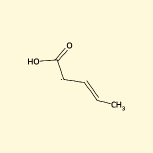 C/C=C/[CH]C(=O)O